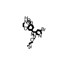 C[Si](C)(C)CCOCn1nc(-c2ccc3c(c2)OCCNS3(=O)=O)c2cc(Br)cnc21